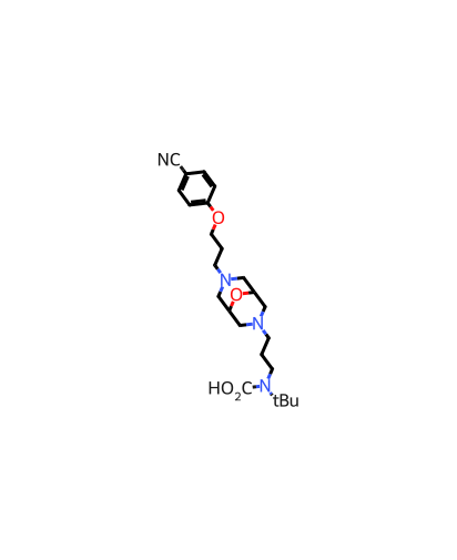 CC(C)(C)N(CCCN1CC2CN(CCCOc3ccc(C#N)cc3)CC(C1)O2)C(=O)O